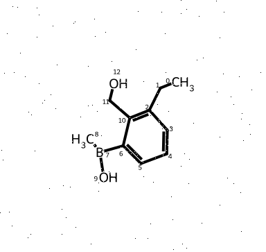 CCc1cccc(B(C)O)c1CO